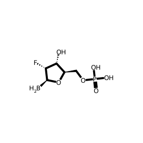 B[C@@H]1O[C@H](COP(=O)(O)O)[C@@H](O)[C@H]1F